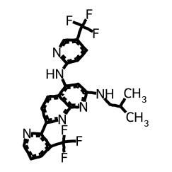 CC(C)CNc1cc(Nc2ccc(C(F)(F)F)cn2)c2ccc(-c3ncccc3C(F)(F)F)nc2n1